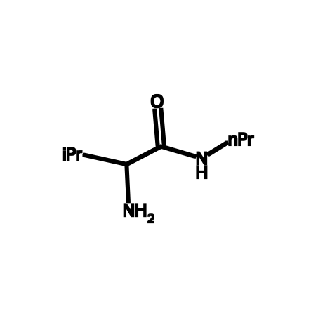 [CH2]CCNC(=O)C(N)C(C)C